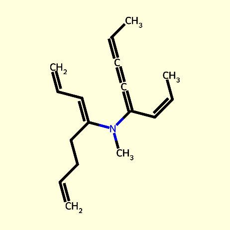 C=C/C=C(\CCC=C)N(C)C(=C=C=CC)/C=C\C